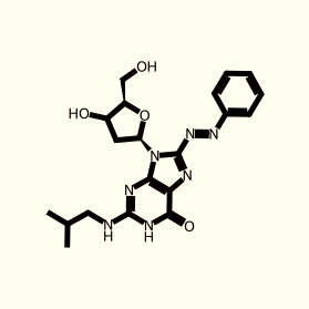 CC(C)CNc1nc2c(nc(N=Nc3ccccc3)n2[C@H]2CC(O)[C@@H](CO)O2)c(=O)[nH]1